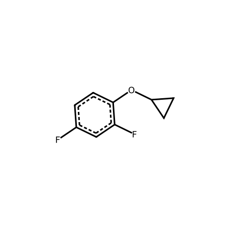 Fc1ccc(OC2CC2)c(F)c1